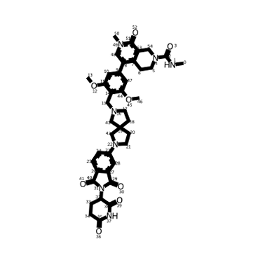 CNC(=O)N1CCc2c(-c3cc(OC)c(CN4CCC5(CCN(c6ccc7c(c6)C(=O)N(C6CCC(=O)NC6=O)C7=O)C5)C4)c(OC)c3)cn(C)c(=O)c2C1